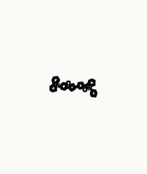 c1ccc(-n2c3ccccc3c3c4ccc(-c5ccc6c(c5)oc5cc(-n7c8ccccc8c8ccccc87)ccc56)cc4oc32)cc1